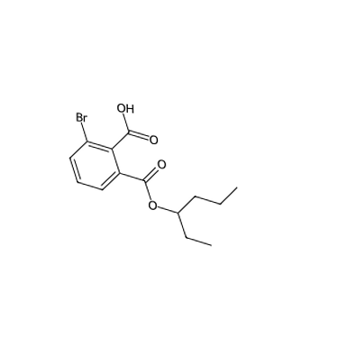 CCCC(CC)OC(=O)c1cccc(Br)c1C(=O)O